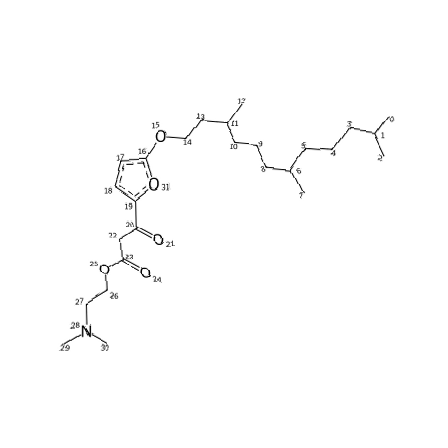 CC(C)CCCC(C)CCCC(C)CCOc1ccc(C(=O)CC(=O)OCCN(C)C)o1